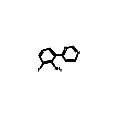 Nc1c(F)cccc1-c1ccncn1